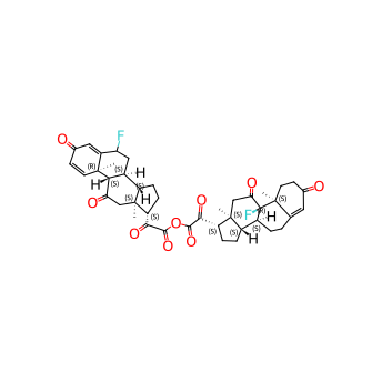 C[C@]12CC(=O)[C@H]3[C@@H](CC(F)C4=CC(=O)C=C[C@@]43C)[C@@H]1CC[C@@H]2C(=O)C(=O)OC(=O)C(=O)[C@H]1CC[C@H]2[C@@H]3CCC4=CC(=O)CC[C@]4(C)[C@@]3(F)C(=O)C[C@]12C